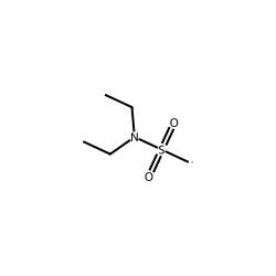 [CH2]S(=O)(=O)N(CC)CC